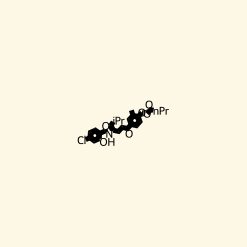 CCCC(=O)OOc1ccc(C(=O)CCc2nc(-c3ccc(Cl)cc3O)oc2C(C)C)cc1C